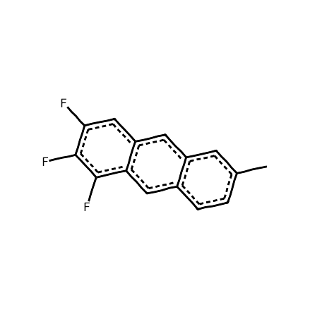 Cc1ccc2cc3c(F)c(F)c(F)cc3cc2c1